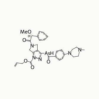 C=CCOC(=O)n1nc([AsH]C(=O)c2ccc(N3CCN(C)CC3)cc2)c2c1CN(C(=O)[C@H](OC)c1ccccc1)C2